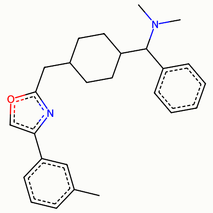 Cc1cccc(-c2coc(CC3CCC(C(c4ccccc4)N(C)C)CC3)n2)c1